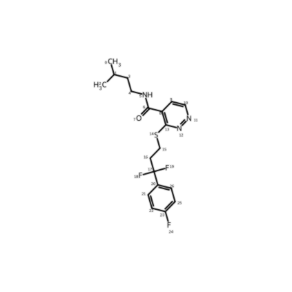 CC(C)CCNC(=O)c1ccnnc1SCCC(F)(F)c1ccc(F)cc1